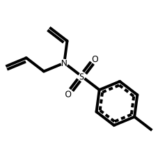 C=CCN(C=C)S(=O)(=O)c1ccc(C)cc1